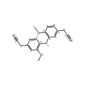 COc1cc(CC#N)ccc1Oc1cc(CC#N)ccc1OC